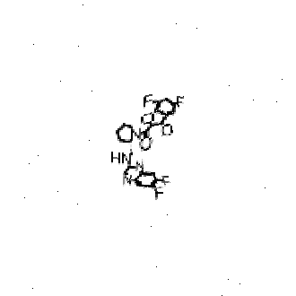 O=C1c2cc(F)cc(F)c2OC1C(=O)N1CCCC[C@H]1CNc1cnc2cc(F)c(F)cc2n1